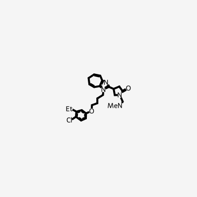 CCc1cc(OCCCCn2c(C3CC(=O)N(CNC)C3)nc3c2C=CCC=C3)ccc1Cl